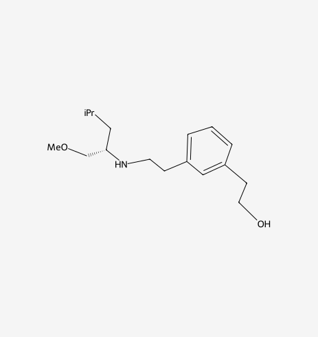 COC[C@H](CC(C)C)NCCc1cccc(CCO)c1